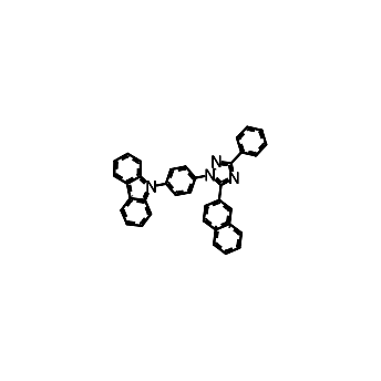 c1ccc(-c2nc(-c3ccc4ccccc4c3)n(-c3ccc(-n4c5ccccc5c5ccccc54)cc3)n2)cc1